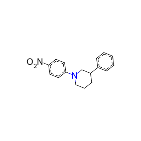 O=[N+]([O-])c1ccc(N2CCCC(c3ccccc3)C2)cc1